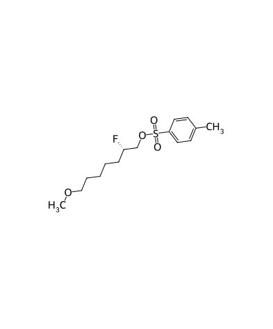 COCCCCC[C@H](F)COS(=O)(=O)c1ccc(C)cc1